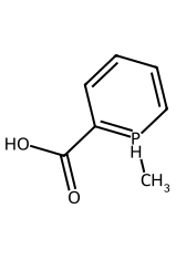 C[PH]1=C(C(=O)O)C=CC=C1